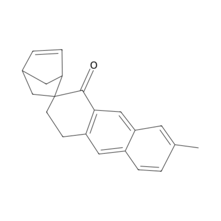 Cc1ccc2cc3c(cc2c1)C(=O)C1(CC3)CC2C=CC1C2